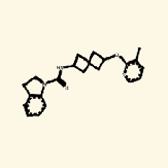 Cc1cccnc1OC1CC2(CC(NC(=O)N3CCc4ccccc43)C2)C1